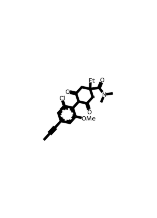 CC#Cc1cc(Cl)c(C2C(=O)CC(CC)(C(=O)N(C)C)CC2=O)c(OC)c1